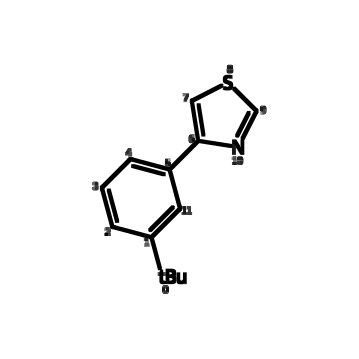 CC(C)(C)c1cccc(-c2cscn2)c1